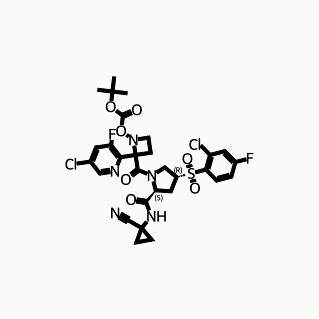 CC(C)(C)OC(=O)ON1CCC1(C(=O)N1C[C@H](S(=O)(=O)c2ccc(F)cc2Cl)C[C@H]1C(=O)NC1(C#N)CC1)c1ncc(Cl)cc1F